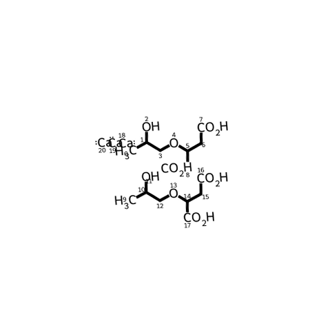 CC(O)COC(CC(=O)O)C(=O)O.CC(O)COC(CC(=O)O)C(=O)O.[Ca].[Ca].[Ca]